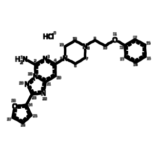 Cl.Nc1nc(N2CCN(CCOc3ccccc3)CC2)cc2nc(-c3ccco3)nn12